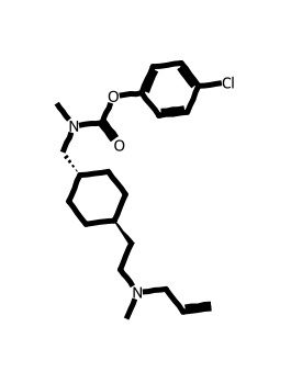 C=CCN(C)CC[C@H]1CC[C@H](CN(C)C(=O)Oc2ccc(Cl)cc2)CC1